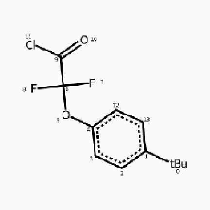 CC(C)(C)c1ccc(OC(F)(F)C(=O)Cl)cc1